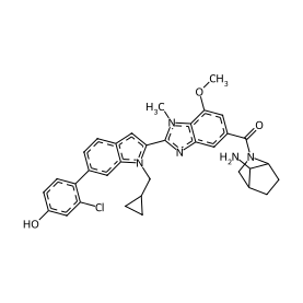 COc1cc(C(=O)N2CC3CCC2C3N)cc2nc(-c3cc4ccc(-c5ccc(O)cc5Cl)cc4n3CC3CC3)n(C)c12